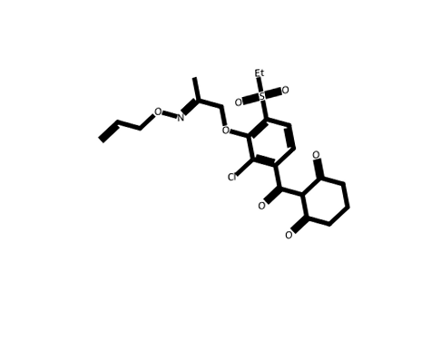 C=CCON=C(C)COc1c(S(=O)(=O)CC)ccc(C(=O)C2C(=O)CCCC2=O)c1Cl